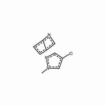 Cn1cc(Cl)cn1.c1cc2ncc1-2